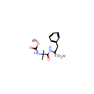 CC(C)(C)OC(=O)NC(C)(C)C(=O)NC(Cc1ccccc1)C(=O)O